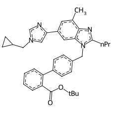 CCCc1nc2c(C)cc(-c3cn(CC4CC4)cn3)cc2n1Cc1ccc(-c2ccccc2C(=O)OC(C)(C)C)cc1